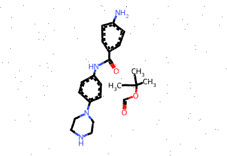 CC(C)(C)OC=O.Nc1ccc(C(=O)Nc2ccc(N3CCNCC3)cc2)cc1